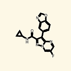 O=C(NC1CC1)c1nn2cc(F)cnc2c1-c1ccc2ocnc2c1